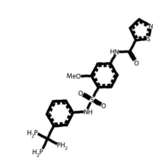 COc1cc(NC(=O)c2ccns2)ccc1S(=O)(=O)Nc1cccc(C(P)(P)P)c1